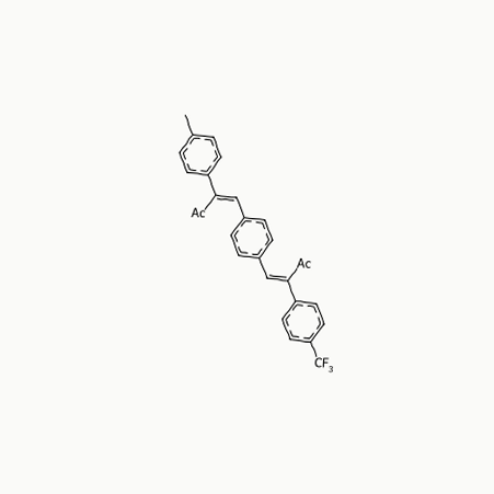 CC(=O)/C(=C\c1ccc(/C=C(\C(C)=O)c2ccc(C(F)(F)F)cc2)cc1)c1ccc(C)cc1